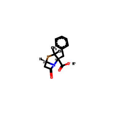 CC1(C)S[C@@H]2CC(=O)N2[C@@]1(Cc1ccccc1)C(=O)[O-].[K+]